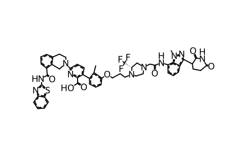 Cc1c(OCCCN2CCN(CC(=O)Nc3cccc4c(C5CCC(=O)NC5=O)nn(C)c34)C[C@H]2C(F)(F)F)cccc1-c1ccc(N2CCc3cccc(C(=O)Nc4nc5ccccc5s4)c3C2)nc1C(=O)O